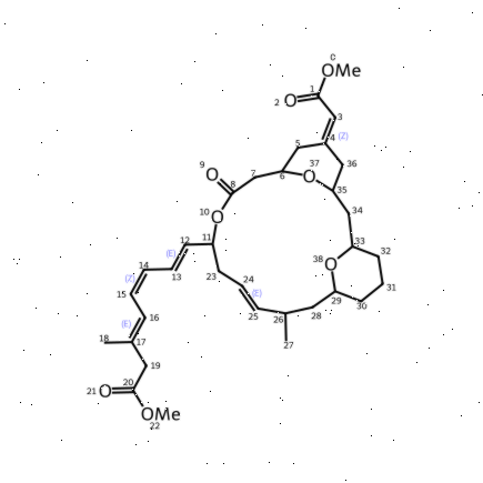 COC(=O)/C=C1\CC2CC(=O)OC(/C=C/C=C\C=C(/C)CC(=O)OC)C/C=C/C(C)CC3CCCC(CC(C1)O2)O3